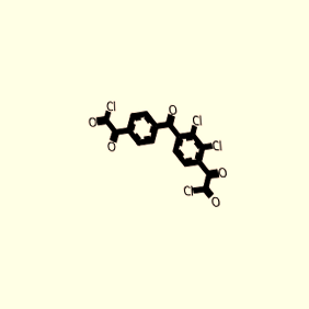 O=C(Cl)C(=O)c1ccc(C(=O)c2ccc(C(=O)C(=O)Cl)c(Cl)c2Cl)cc1